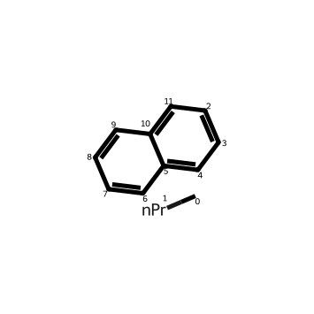 CCCC.c1ccc2ccccc2c1